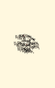 CC(C)(C)OC(=O)CCC(CCC(=O)OC(C)(C)C)(CCC(=O)OC(C)(C)C)NC(=O)CCC(CCC(=O)NC(CCC(=O)OC(C)(C)C)(CCC(=O)OC(C)(C)C)CCC(=O)OC(C)(C)C)(CCC(=O)NC(CCC(=O)OC(C)(C)C)(CCC(=O)OC(C)(C)C)CCC(=O)OC(C)(C)C)NC(=O)N1CC(N=[N+]=[N-])C(N=[N+]=[N-])C1